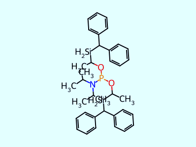 CC(OP(OC(C)[SiH2]C(c1ccccc1)c1ccccc1)N(C(C)C)C(C)C)[SiH2]C(c1ccccc1)c1ccccc1